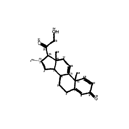 C[C@H]1CC2C3CCC4=CC(=O)C=CC4(C)C3=CCC2(C)C1C(=O)CO